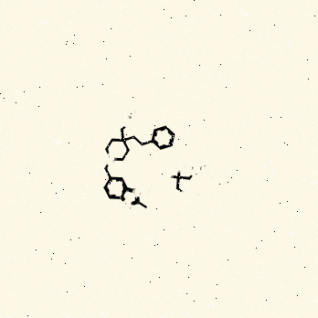 CCOCC1(CCc2ccccc2)CCN(Cc2ccc3nc(C)[nH]c3c2)CC1.O=C(O)CC(O)(CC(=O)O)C(=O)O